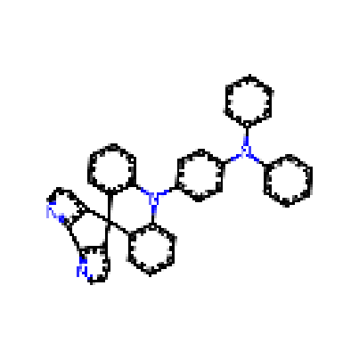 c1ccc(N(c2ccccc2)c2ccc(N3c4ccccc4C4(c5ccccc53)c3cccnc3-c3ncccc34)cc2)cc1